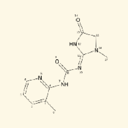 Cc1cccnc1NC(=O)N=C1NC(=O)CN1C